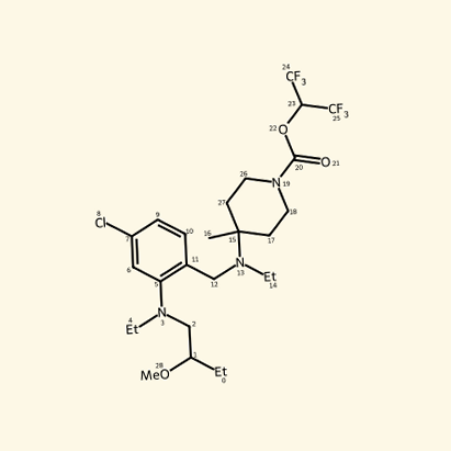 CCC(CN(CC)c1cc(Cl)ccc1CN(CC)C1(C)CCN(C(=O)OC(C(F)(F)F)C(F)(F)F)CC1)OC